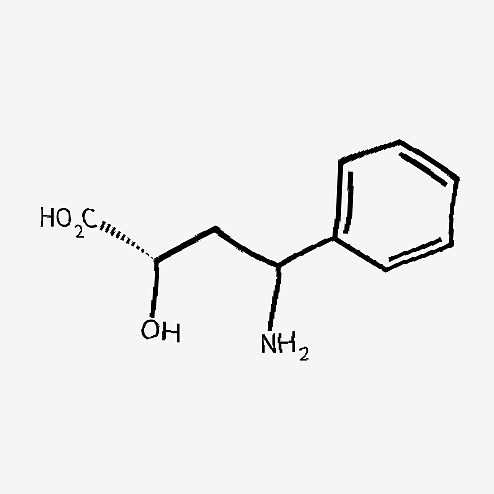 NC(C[C@H](O)C(=O)O)c1ccccc1